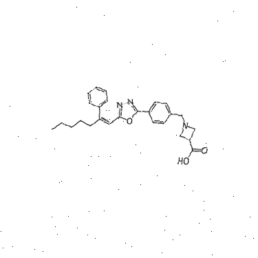 CCCCCC(=Cc1nnc(-c2ccc(CN3CC(C(=O)O)C3)cc2)o1)c1ccccc1